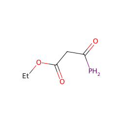 CCOC(=O)CC(=O)P